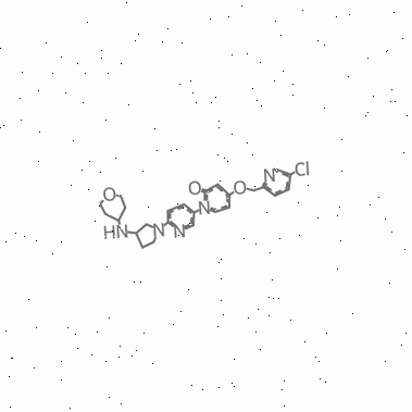 O=c1cc(OCc2ccc(Cl)cn2)ccn1-c1ccc(N2CCC(NC3CCOCC3)C2)nc1